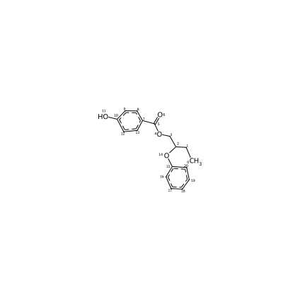 CCC(COC(=O)c1ccc(O)cc1)Oc1ccccc1